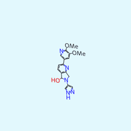 COc1cc(-c2ccc3c(n2)CN(c2cn[nH]c2)C3O)cnc1OC